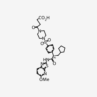 COc1ccc2nc(NC(=O)[C@H](CC3CCCC3)c3ccc(S(=O)(=O)N4CCN(C(=O)CCC(=O)O)CC4)cc3)sc2n1